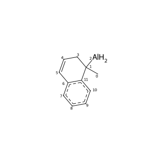 C[C]1([AlH2])CC=Cc2ccccc21